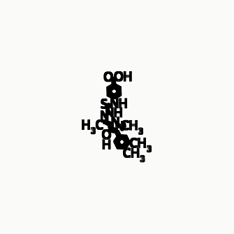 CC(=NNC(=S)Nc1ccc(C(=O)O)cc1)c1nn(C)c(-c2ccc(C)c(C)c2)c1O